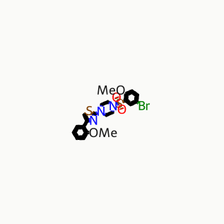 COc1ccccc1-c1csc(N2CCN(S(=O)(=O)c3cc(Br)ccc3OC)CC2)n1